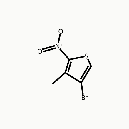 Cc1c(Br)csc1[N+](=O)[O-]